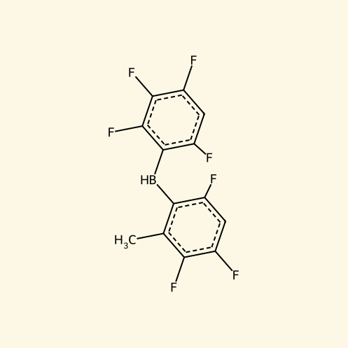 Cc1c(F)c(F)cc(F)c1Bc1c(F)cc(F)c(F)c1F